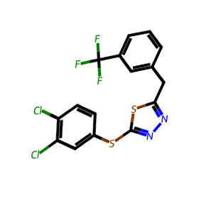 FC(F)(F)c1cccc(Cc2nnc(Sc3ccc(Cl)c(Cl)c3)s2)c1